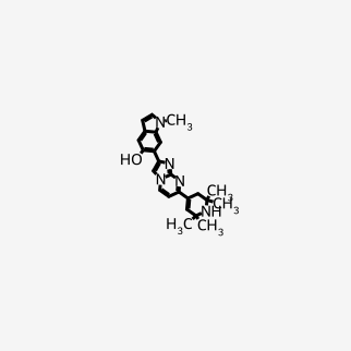 Cn1ccc2cc(O)c(-c3cn4ccc(C5=CC(C)(C)NC(C)(C)C5)nc4n3)cc21